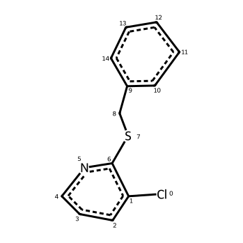 Clc1cccnc1SCc1ccccc1